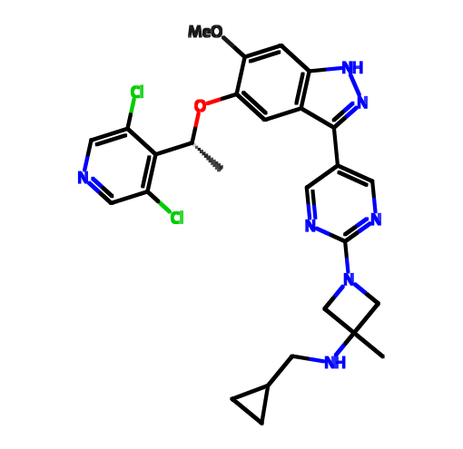 COc1cc2[nH]nc(-c3cnc(N4CC(C)(NCC5CC5)C4)nc3)c2cc1O[C@H](C)c1c(Cl)cncc1Cl